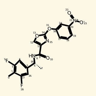 Cc1c(F)cc([C@@H](C)NC(=O)c2coc(Oc3cccc([N+](=O)[O-])c3)n2)cc1F